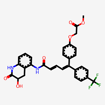 COC(=O)COc1ccc(C(=CC=CC(=O)Nc2cccc3c2CC(O)C(=O)N3)c2ccc(C(F)(F)F)cc2)cc1